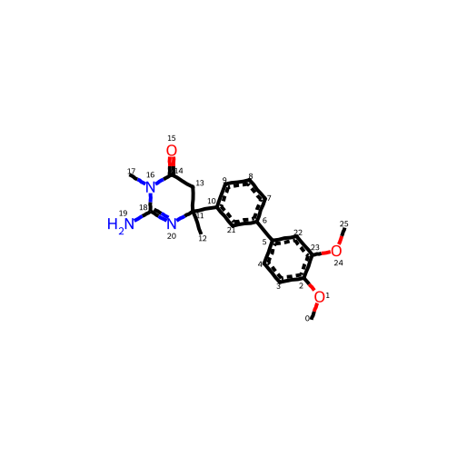 COc1ccc(-c2cccc(C3(C)CC(=O)N(C)C(N)=N3)c2)cc1OC